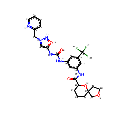 O=C([N-]c1c[n+](Cc2ccccn2)no1)Nc1cc(NC(=O)C2CCCC3(CCOC3)O2)cc(C(F)(F)F)c1